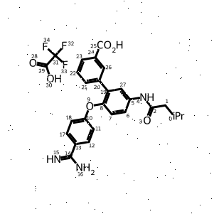 CC(C)CC(=O)Nc1ccc(Oc2ccc(C(=N)N)cc2)c(-c2cccc(C(=O)O)c2)c1.O=C(O)C(F)(F)F